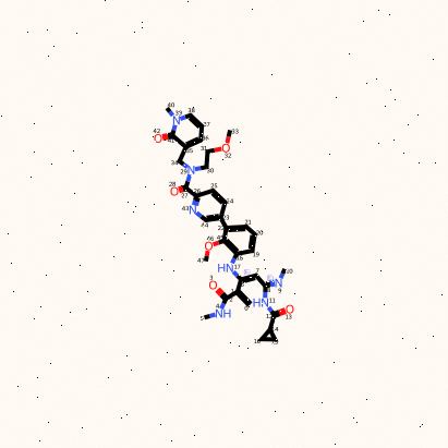 C=C(C(=O)NC)/C(=C\C(=N/C)NC(=O)C1CC1)Nc1cccc(-c2ccc(C(=O)N(CCOC)Cc3cccn(C)c3=O)nc2)c1OC